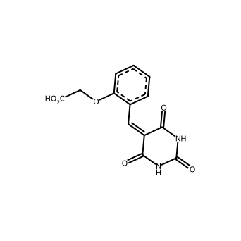 O=C(O)COc1ccccc1C=C1C(=O)NC(=O)NC1=O